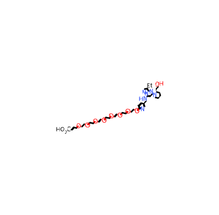 CCc1cnn2c(NCc3ccc(OCCOCCOCCOCCOCCOCCOCCOC/C=C/C(=O)O)nc3)cc(N3CCCC[C@H]3CCO)nc12